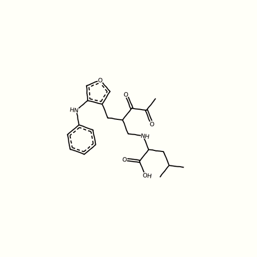 CC(=O)C(=O)C(CNC(CC(C)C)C(=O)O)Cc1cocc1Nc1ccccc1